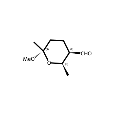 CO[C@]1(C)CC[C@@H](C=O)[C@@H](C)O1